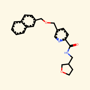 O=C(NCC1CCOC1)c1ccc(COCc2ccc3ccccc3c2)cn1